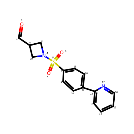 O=CC1CN(S(=O)(=O)c2ccc(-c3ccccn3)cc2)C1